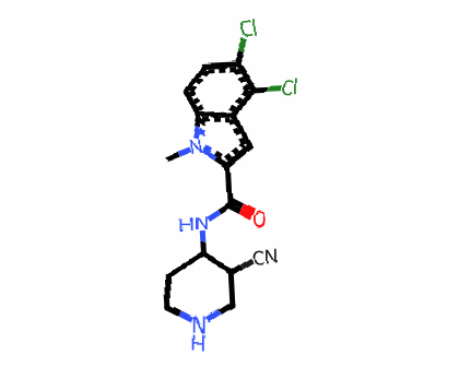 Cn1c(C(=O)NC2CCNCC2C#N)cc2c(Cl)c(Cl)ccc21